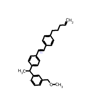 C=CCCCc1ccc(/C=C/c2ccc(C(C)c3[c]ccc(COC)c3)cc2)cc1